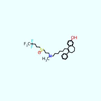 CN(CCCCCCC1=C(c2ccccc2)CCCc2cc(O)ccc21)CCC[S+]([O-])CCCC(F)(F)C(F)(F)F